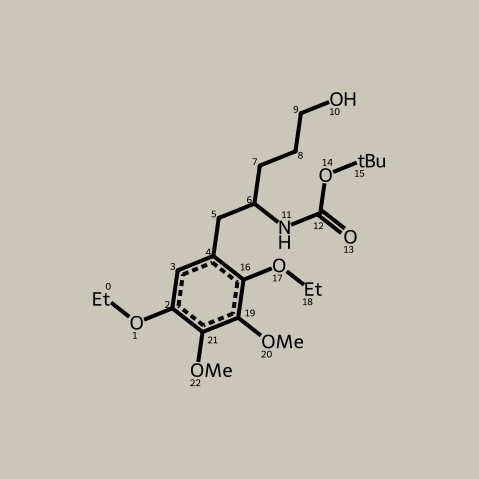 CCOc1cc(CC(CCCO)NC(=O)OC(C)(C)C)c(OCC)c(OC)c1OC